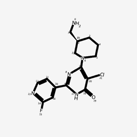 NC[C@H]1CCCN(c2nc(-c3ccnc(F)c3)[nH]c(=O)c2Cl)C1